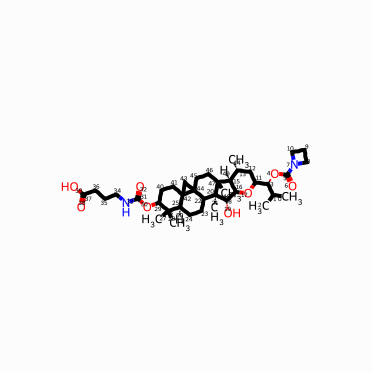 CC(C)[C@@H](OC(=O)N1CCC1)C1C[C@@H](C)[C@H]2C(O1)[C@H](O)[C@@]1(C)C3CC[C@H]4C(C)(C)C(OC(=O)NCCCC(=O)O)CCC45CC35CCC21C